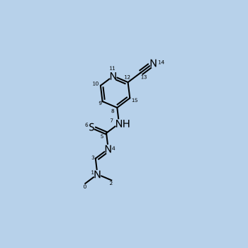 CN(C)C=NC(=S)Nc1ccnc(C#N)c1